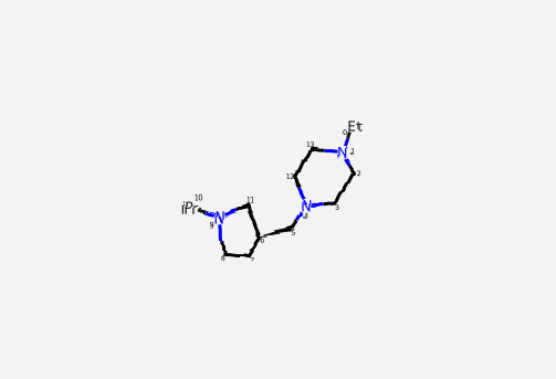 CCN1CCN(C[C@H]2CCN(C(C)C)C2)CC1